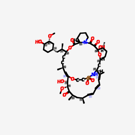 CO[C@@H]1C[C@H](C[C@@H](C)[C@@H]2CC[C@H](C)/C=C3\OCCS(=O)(=O)N[C@@H](C[C@@H]4CC[C@@H](C)[C@@](O)(O4)C(=O)C(=O)N4CCCC[C@H]4C(=O)O2)/C(C)=C/C=C/C=C/[C@@H](C)C[C@@H](C)C(=O)[C@H](OC)[C@@H]3O)CC[C@H]1O